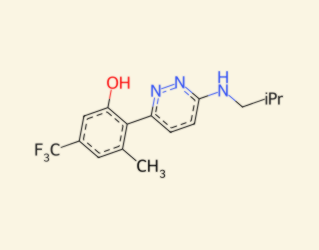 Cc1cc(C(F)(F)F)cc(O)c1-c1ccc(NCC(C)C)nn1